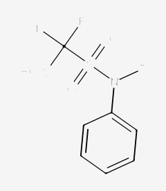 O=S(=O)(O)C(F)(F)S(=O)(=O)N(F)c1ccccc1